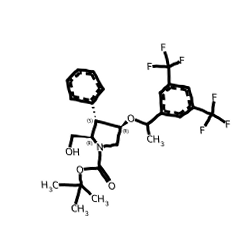 CC(O[C@H]1CN(C(=O)OC(C)(C)C)[C@@H](CO)[C@@H]1c1ccccc1)c1cc(C(F)(F)F)cc(C(F)(F)F)c1